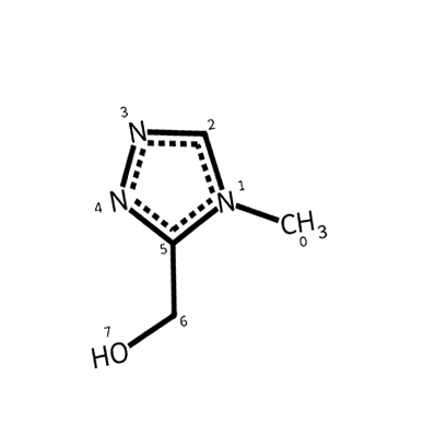 Cn1cnnc1CO